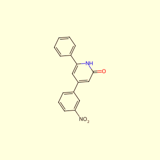 O=c1cc(-c2cccc([N+](=O)[O-])c2)cc(-c2ccccc2)[nH]1